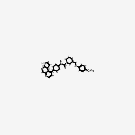 COc1ccc(OCC2CCCN(C(=O)NC3CCC(c4ccnc5cnc6[nH]ccc6c45)CC3)C2)cc1